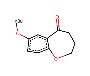 CCCCOc1ccc2c(c1)C(=O)CCCO2